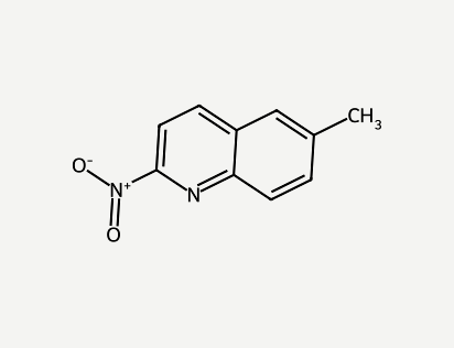 Cc1ccc2nc([N+](=O)[O-])ccc2c1